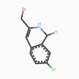 Clc1ccc2c(c1)C(Cl)NC(CBr)=C2